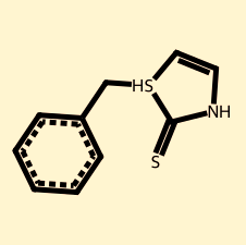 S=C1NC=C[SH]1Cc1ccccc1